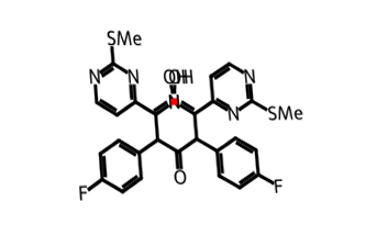 CSc1nccc(C(=NO)C(C(=O)C(C(=NO)c2ccnc(SC)n2)c2ccc(F)cc2)c2ccc(F)cc2)n1